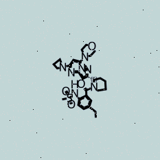 CCc1ccc(NS(C)(=O)=O)c(C(=O)N2CCCC[C@H]2c2cc3nc(N4CCC4)cc(N4CCOCC4)n3n2)c1